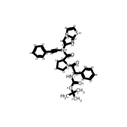 CC(C)(C)OC(=O)N[C@H](C(=O)N1CCCC1C(=O)N(C#Cc1ccccc1)c1cn2ccsc2n1)c1ccccc1